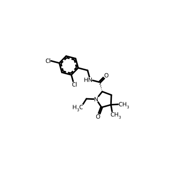 CCN1C(=O)C(C)(C)C[C@H]1C(=O)NCc1ccc(Cl)cc1Cl